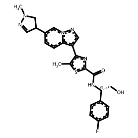 Cc1sc(C(=O)N[C@H](CO)c2ccc(F)cc2)nc1-c1cnn2cc(C3C=NN(C)C3)ccc12